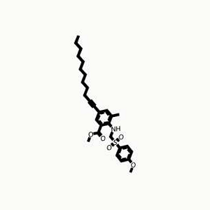 CCCCCCCCCCC#Cc1cc(C)c(NCS(=O)(=O)c2ccc(OC)cc2)c(C(=O)OC)c1